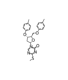 CSc1ncn([C@H]2C[C@H](Oc3ccc(C)cc3)[C@@H](COc3ccc(C)cc3)O2)c(=O)n1